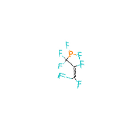 FC(F)=C(F)C(F)(F)P(F)F